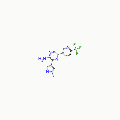 Cn1cc(-c2nc(-c3ccc(C(F)(F)F)nc3)cnc2N)cn1